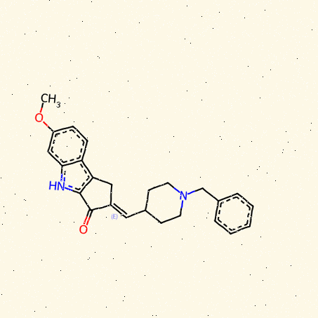 COc1ccc2c3c([nH]c2c1)C(=O)/C(=C/C1CCN(Cc2ccccc2)CC1)C3